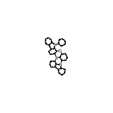 c1ccc(-n2c3ccccc3c3ccc4c(c32)Oc2cccc3c2B4c2cccc4c5ccccc5n-3c24)cc1